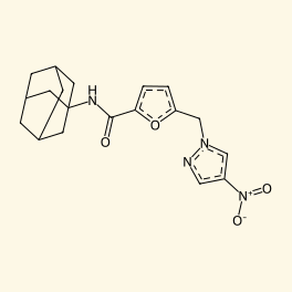 O=C(NC12CC3CC(CC(C3)C1)C2)c1ccc(Cn2cc([N+](=O)[O-])cn2)o1